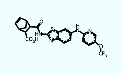 O=C(O)C1C2C=CC(C2)C1C(=O)Nc1nc2ccc(Nc3ccc(OC(F)(F)F)cn3)cc2s1